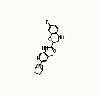 Cc1cc(N2C3CCC2CC3)ncc1NC(=O)C1CNc2ccc(F)cc2O1